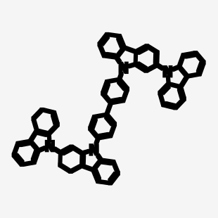 C1=CC2c3ccccc3N(c3ccc4c5ccccc5n(-c5ccc(-c6ccc(-n7c8c(c9ccccc97)CCC(n7c9c(c%10ccccc%107)CCC=C9)=C8)cc6)cc5)c4c3)C2C=C1